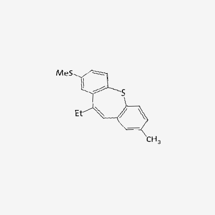 CCC1=Cc2cc(C)ccc2Sc2ccc(SC)cc21